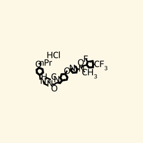 CCCOc1ccc(CN2CCN(C(=O)c3cc4ccc(Oc5ccc(N(C)C(=O)c6ccc(C(F)(F)F)cc6F)cn5)cc4n3C)CC2)cc1.Cl